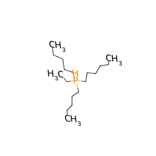 CCCCCC[PH](CC)(CCCCC)CCCCC